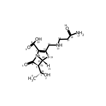 C[C@@H](O)[C@H]1C(=O)N2C(C(=O)O)=C(CNCCC(N)=O)S[C@H]12